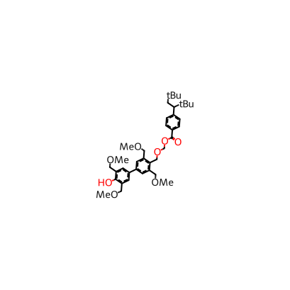 COCc1cc(-c2cc(COC)c(COCOC(=O)c3ccc(C(CC(C)(C)C)C(C)(C)C)cc3)c(COC)c2)cc(COC)c1O